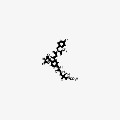 CC(N(Cc1ccc(F)cc1)C(=O)CC1C[C@@]2(OC(=O)NC2=O)c2ccc(NC(=O)NCC(C)(C)CNC(=O)O)cc21)C(F)(F)F